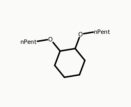 CCCCCOC1CCCCC1OCCCCC